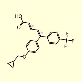 O=C(O)/C=C/C=C(\c1ccc(OCC2CC2)cc1)c1ccc(C(F)(F)F)cc1